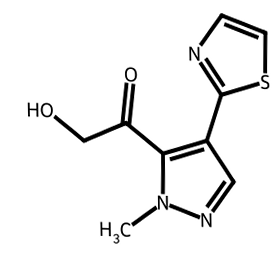 Cn1ncc(-c2nccs2)c1C(=O)CO